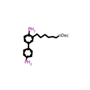 CCCCCCCCCCCCCCCCc1cc(-c2ccc(P)cc2)ccc1P